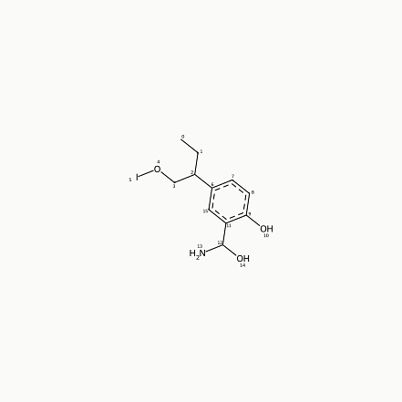 CCC(COI)c1ccc(O)c(C(N)O)c1